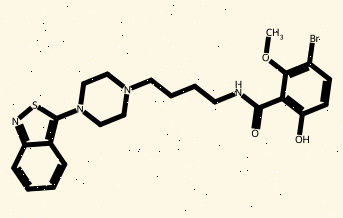 COc1c(Br)ccc(O)c1C(=O)NCCCCN1CCN(c2snc3ccccc23)CC1